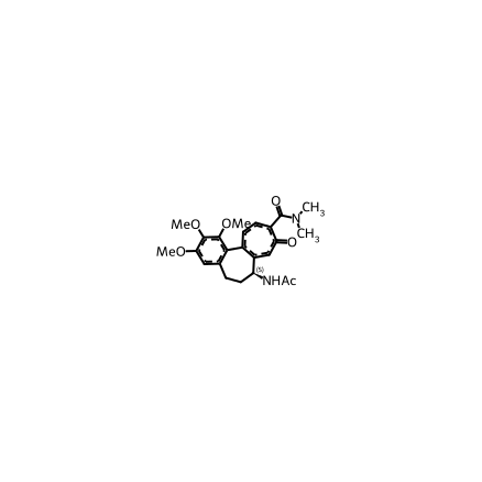 COc1cc2c(c(OC)c1OC)-c1ccc(C(=O)N(C)C)c(=O)cc1[C@@H](NC(C)=O)CC2